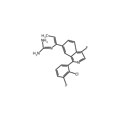 C/C=C(\N=C(N)N)c1ccc2c(F)cnc(-c3cccc(F)c3Cl)c2c1